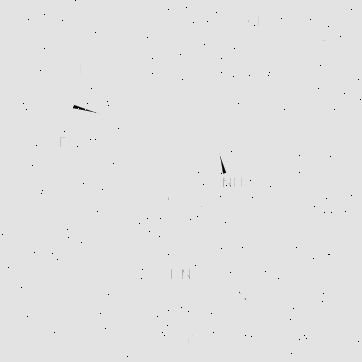 O=C1NC[C@@H](C(=O)N[C@H](c2ccc(F)c(Cl)c2)[C@H]2CC[C@H](C(F)(F)F)CC2)N1